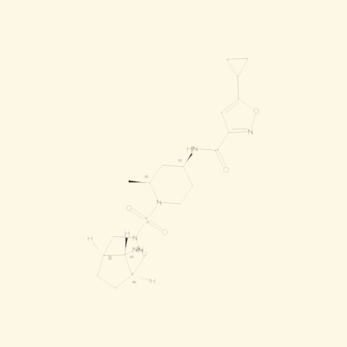 C[C@H]1C[C@@H](NC(=O)c2cc(C3CC3)on2)CCN1S(=O)(=O)N1C[C@H]2CC[C@@H](C1)[C@@H]2N